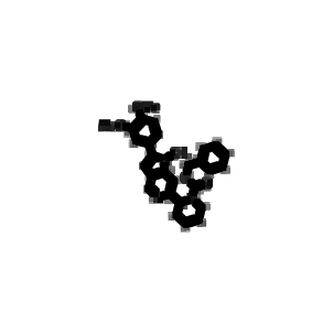 COc1ccc(-c2cc3cnc(C4CC=CCN4C(=O)OCc4ccccc4)cc3n2C)cc1OC